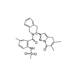 CC1=C(C)C(=O)n2nc([C@@H]3Cc4ccccc4CN3C(=O)c3cc(C)ccc3NS(C)(=O)=O)cc2C1